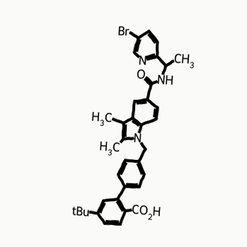 Cc1c(C)n(Cc2ccc(-c3cc(C(C)(C)C)ccc3C(=O)O)cc2)c2ccc(C(=O)NC(C)c3ccc(Br)cn3)cc12